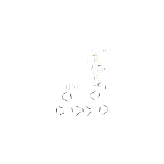 CC(C)(C)c1ccc([S+](c2ccccc2)c2ccccc2)cc1.CC(C)(C)c1ccc([S+](c2ccccc2)c2ccccc2)cc1.O=C([O-])C(F)(F)C(F)(F)C(F)(F)F.O=C([O-])C(F)(F)C(F)(F)C(F)(F)F